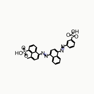 Cc1ccc(/N=N/c2ccc(/N=N/c3cccc(S(=O)(=O)O)c3)c3ccccc23)c2cccc(S(=O)(=O)O)c12